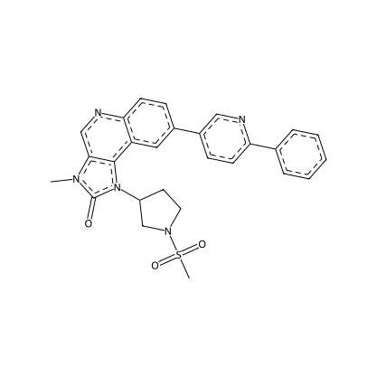 Cn1c(=O)n(C2CCN(S(C)(=O)=O)C2)c2c3cc(-c4ccc(-c5ccccc5)nc4)ccc3ncc21